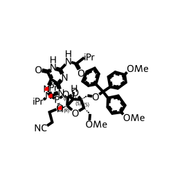 COC[C@@H]1O[C@H]2[C@H](n3cnc4c(=O)[nH]c(NC(=O)C(C)C)nc43)O[C@]1(COC(c1ccccc1)(c1ccc(OC)cc1)c1ccc(OC)cc1)[C@H]2OP(OCCC#N)N(C(C)C)C(C)C